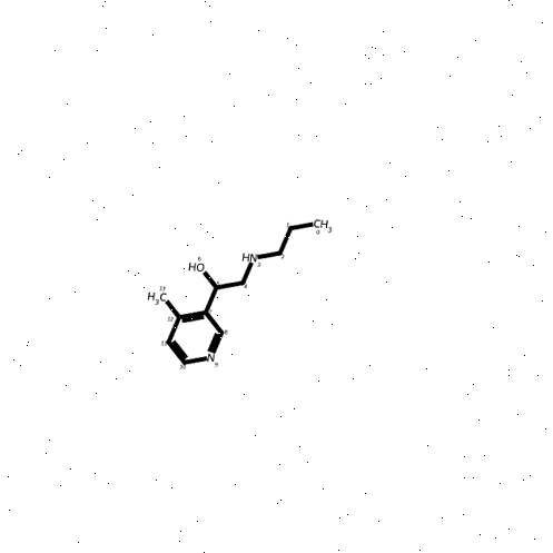 CCCNCC(O)c1cnccc1C